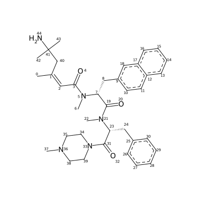 CC(=CC(=O)N(C)[C@H](Cc1ccc2ccccc2c1)C(=O)N(C)[C@H](Cc1ccccc1)C(=O)N1CCN(C)CC1)CC(C)(C)N